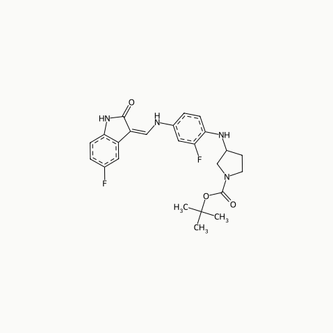 CC(C)(C)OC(=O)N1CCC(Nc2ccc(NC=C3C(=O)Nc4ccc(F)cc43)cc2F)C1